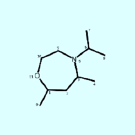 CC1CC(C)N(C(C)C)CCO1